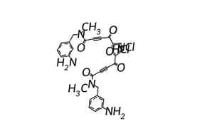 CN(Cc1cccc(N)c1)C(=O)C#CC(=O)c1ccc(C(=O)C#CC(=O)N(C)Cc2cccc(N)c2)o1.Cl.Cl